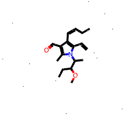 C=Cc1c(/C=C\CC)c(C=O)c(C)n1C(C)C(CC)OC